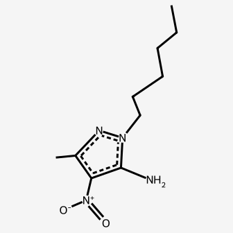 CCCCCCn1nc(C)c([N+](=O)[O-])c1N